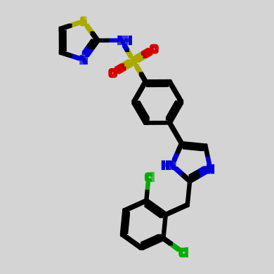 O=S(=O)(Nc1nccs1)c1ccc(-c2cnc(Cc3c(Cl)cccc3Cl)[nH]2)cc1